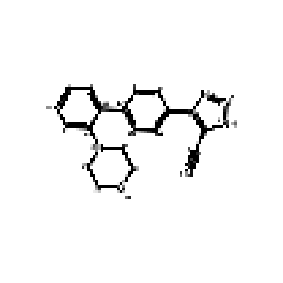 N#Cc1[nH]nnc1-c1ccc(-c2ccccc2N2CCOCC2)cc1